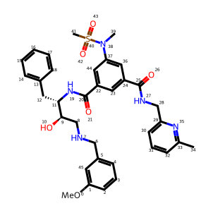 COc1cccc(CNC[C@@H](O)[C@H](Cc2ccccc2)NC(=O)c2cc(C(=O)NCc3cccc(C)n3)cc(N(C)S(C)(=O)=O)c2)c1